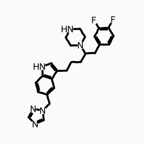 Fc1ccc(CC(CCCc2c[nH]c3ccc(Cn4cncn4)cc23)N2CCNCC2)cc1F